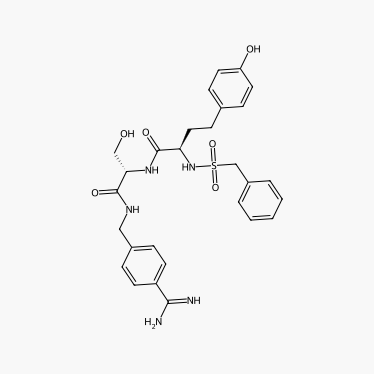 N=C(N)c1ccc(CNC(=O)[C@H](CO)NC(=O)[C@@H](CCc2ccc(O)cc2)NS(=O)(=O)Cc2ccccc2)cc1